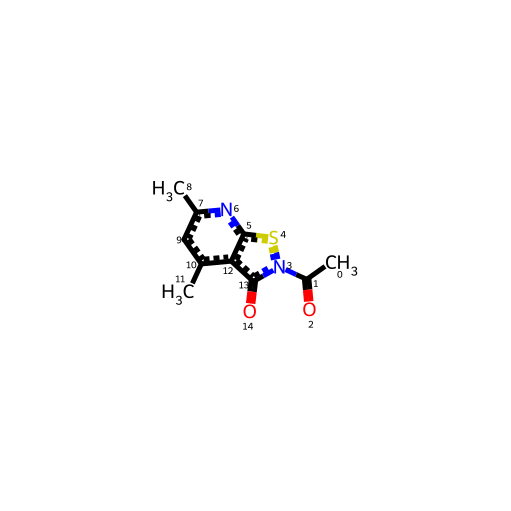 CC(=O)n1sc2nc(C)cc(C)c2c1=O